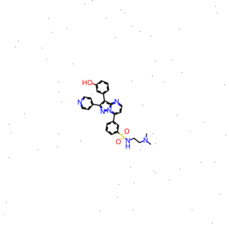 CN(C)CCNS(=O)(=O)c1cccc(-c2ccnc3c(-c4cccc(O)c4)c(-c4ccncc4)nn23)c1